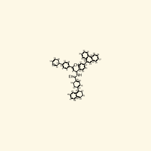 CCC(NC(/C=C(\C)c1ccc(C2C=NC=CC2)cc1)c1ccc(-c2cc3ccccc3c3ccccc23)cc1)C1=CC=C(C2=c3ccccc3=CCC2)CC1